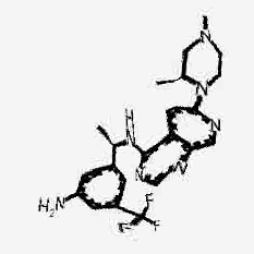 C[C@@H](Nc1ncnc2cnc(N3CCN(C)C[C@@H]3C)cc12)c1cc(N)cc(C(F)(F)F)c1